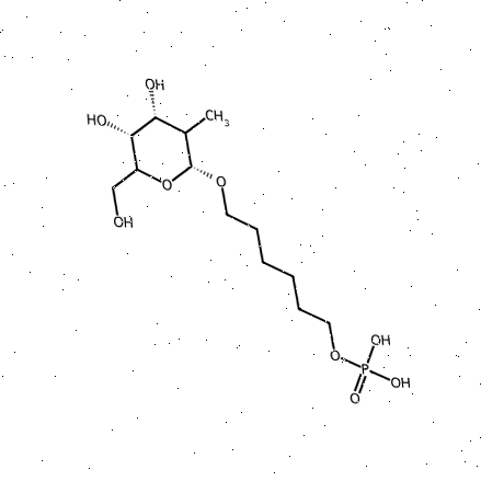 CC1[C@H](OCCCCCCOP(=O)(O)O)OC(CO)[C@H](O)[C@@H]1O